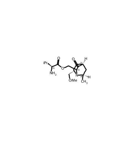 COC[C@]1(COC(=O)[C@@H](N)C(C)C)C(=O)[C@H]2CCN1[C@H](C)C2